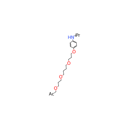 CC(=O)COCCCOCCCCOCCCOc1ccc(NC(C)C)cc1